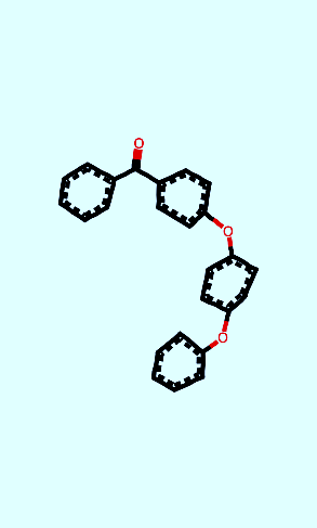 O=C(c1ccccc1)c1ccc(Oc2ccc(Oc3ccccc3)cc2)cc1